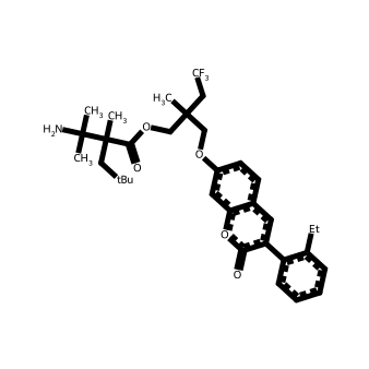 CCc1ccccc1-c1cc2ccc(OCC(C)(COC(=O)C(C)(CC(C)(C)C)C(C)(C)N)CC(F)(F)F)cc2oc1=O